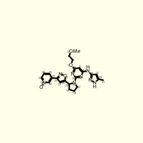 COCCOc1cc(Nc2cc(C)[nH]n2)nc(N2CCCC2c2cc(-c3ccc[n+]([O-])c3)no2)n1